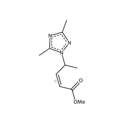 COC(=O)/C=C\C(C)n1nc(C)nc1C